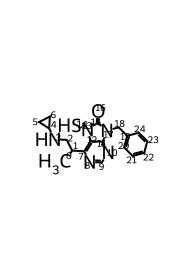 CC(CNC1CC1)c1ncnc2c1n(S)c(=O)n2Cc1ccccc1